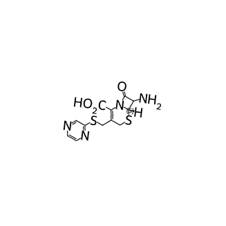 NC1C(=O)N2C(C(=O)O)=C(CSc3cnccn3)CS[C@@H]12